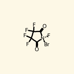 O=C1C(F)(F)C(F)(F)C(=O)[N+]1(F)Br